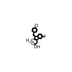 CC1=C(CC(=O)O)c2cc(F)ccc2/C1=C\c1ccc(Cl)cc1